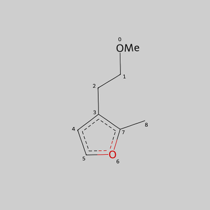 COCCc1ccoc1C